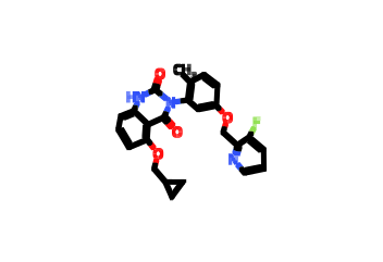 Cc1ccc(OCc2ncccc2F)cc1-n1c(=O)[nH]c2cccc(OCC3CC3)c2c1=O